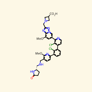 COc1nc(-c2cccc(-c3ccnc(-c4cc(OC)c5nc(CN6CC(C(=O)O)C6)nn5c4)c3Cl)c2Cl)ccc1CNC[C@@H]1CCC(=O)N1